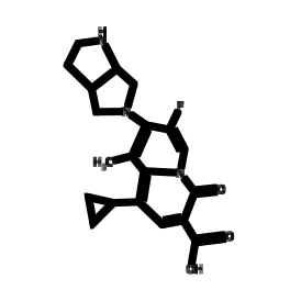 Cc1c(N2CC3CCNC3C2)c(F)cn2c(=O)c(C(=O)O)cc(C3CC3)c12